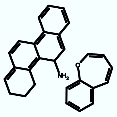 C1=COc2ccccc2C=C1.NC1C=c2ccccc2=c2ccc3c(c21)CCCC=3